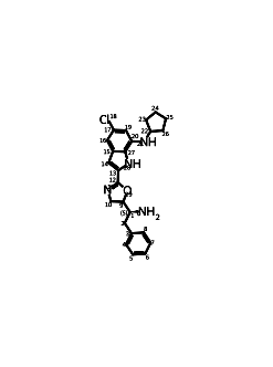 N[C@@H](Cc1ccccc1)C1CN=C(c2cc3cc(Cl)cc(NC4CCCC4)c3[nH]2)O1